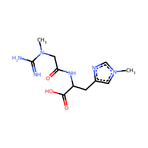 CN(CC(=O)NC(Cc1cn(C)cn1)C(=O)O)C(=N)N